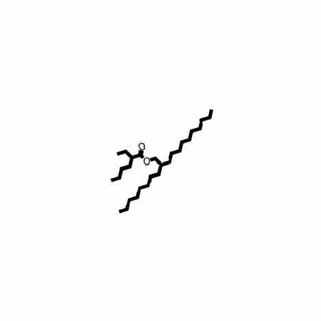 CCCCCCCCCCC(CCCCCCCC)COC(=O)C(CC)CCCC